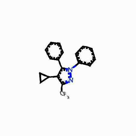 FC(F)(F)c1nn(-c2ccccc2)c(-c2ccccc2)c1C1CC1